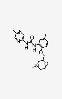 Cc1ccc(OCC2CN(C)CCO2)c(NC(=O)Nc2cnc(C)cn2)c1